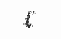 CCOC(=O)CCN1CCN(CC2CN(c3ccc(C(=N)NC(=O)c4ccccc4C(F)(F)F)cc3)C(=O)O2)CC1